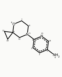 Nc1ccc(N2CCOC3(CC3)C2)nc1